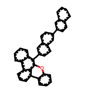 c1ccc2c(c1)Oc1c(-c3ccc4cc(-c5ccc6ccccc6c5)ccc4c3)c3ccccc3c3cccc-2c13